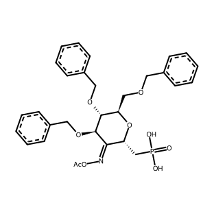 CC(=O)ON=C1[C@@H](OCc2ccccc2)[C@H](OCc2ccccc2)[C@@H](COCc2ccccc2)O[C@@H]1CP(=O)(O)O